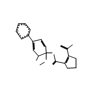 COC1(NC(=O)C2=C(C(=O)O)CCC2)C=CC(c2ccccc2)=CC1Cl